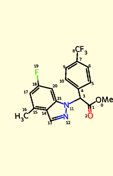 COC(=O)C(c1ccc(C(F)(F)F)cc1)n1ncc2c(C)cc(F)cc21